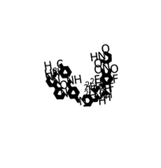 [2H]C1([2H])N(CC2CCN(Cc3ccc(C(=O)Nc4ccc(C)c(Nc5nccc(-c6cccnc6)n5)c4)cc3)CC2)C([2H])([2H])C([2H])([2H])N(c2c(F)c(F)c3c(c2F)C(=O)N(C2CCC(=O)NC2=O)C3=O)C1([2H])[2H]